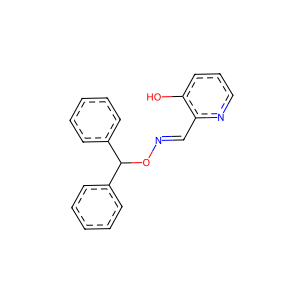 Oc1cccnc1C=NOC(c1ccccc1)c1ccccc1